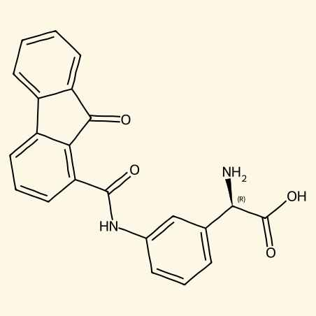 N[C@@H](C(=O)O)c1cccc(NC(=O)c2cccc3c2C(=O)c2ccccc2-3)c1